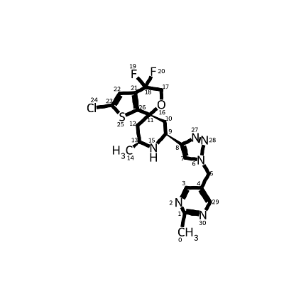 Cc1ncc(Cn2cc([C@@H]3C[C@]4(C[C@H](C)N3)OCC(F)(F)c3cc(Cl)sc34)nn2)cn1